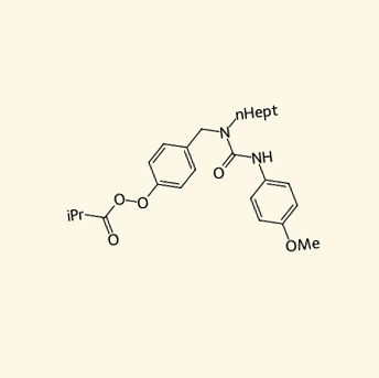 CCCCCCCN(Cc1ccc(OOC(=O)C(C)C)cc1)C(=O)Nc1ccc(OC)cc1